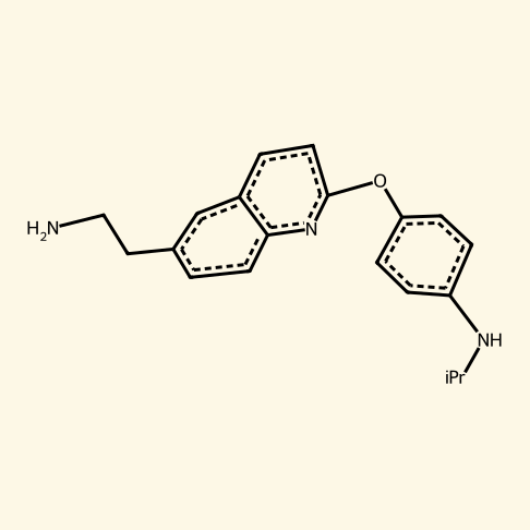 CC(C)Nc1ccc(Oc2ccc3cc(CCN)ccc3n2)cc1